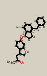 COC(=O)CC1COc2cc(O[C@@H]3CCc4c(Cc5ccccc5)ccc(F)c43)ccc21